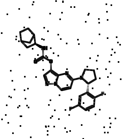 O=C(N[C@H]1CC2CCC1C2)Oc1cnn2ccc(N3CCC[C@@H]3c3cc(F)ccc3F)nc12